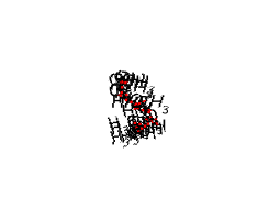 COc1cc(Nc2cc(Oc3ccc(NC(=O)Nc4cc(C(C)(C)C)cc(NS(C)(=O)=O)c4OC)c4ccccc34)ccn2)ccc1C(=O)NCCN1CCN(C(=O)CC[C@@H](C(=O)O)N(C)C)CC1